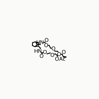 C=CC(=O)OCCOCCOC(=O)NCC1C2CCC1C(CNC(=O)OCCOCCOC(C)=O)C2